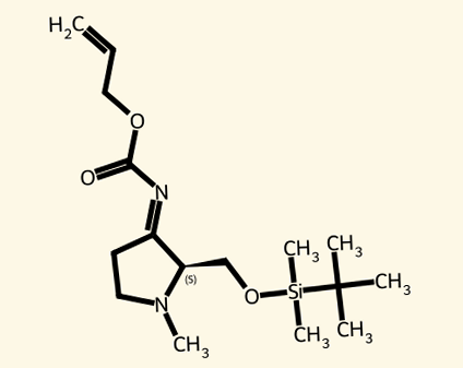 C=CCOC(=O)N=C1CCN(C)[C@@H]1CO[Si](C)(C)C(C)(C)C